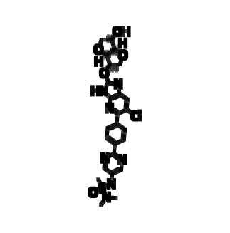 CN(C)S(C)(=O)=Nc1cnc(-c2ccc(-c3nc4[nH]c(O[C@@H]5CO[C@H]6[C@@H]5OC[C@H]6O)nc4cc3Cl)cc2)nc1